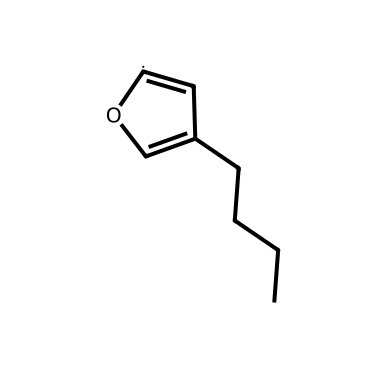 CCCCc1c[c]oc1